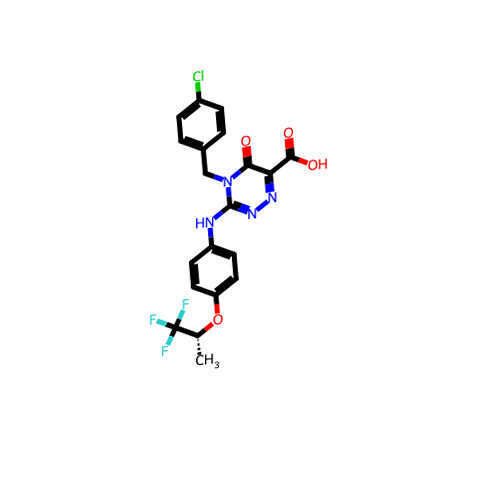 C[C@@H](Oc1ccc(Nc2nnc(C(=O)O)c(=O)n2Cc2ccc(Cl)cc2)cc1)C(F)(F)F